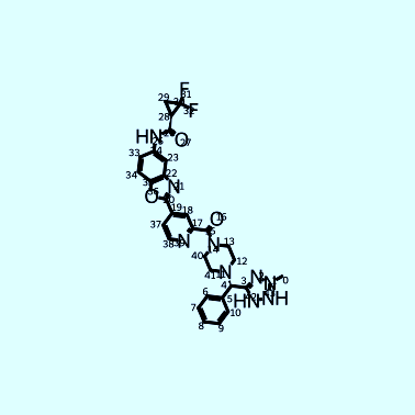 CN1N=C([C@H](c2ccccc2)N2CCN(C(=O)c3cc(-c4nc5cc(NC(=O)[C@H]6CC6(F)F)ccc5o4)ccn3)CC2)NN1